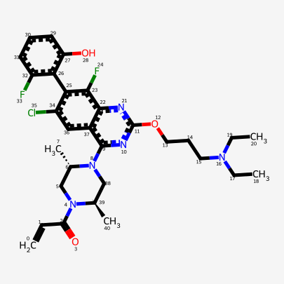 C=CC(=O)N1C[C@H](C)N(c2nc(OCCCN(CC)CC)nc3c(F)c(-c4c(O)cccc4F)c(Cl)cc23)C[C@H]1C